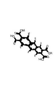 O=C(O)c1c(C(=O)O)c(F)c2c(F)c3c(F)c(C(=O)O)c(C(=O)O)c(F)c3c(F)c2c1F